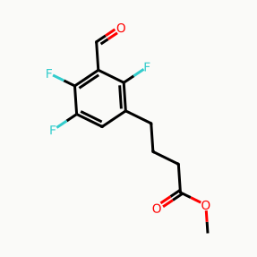 COC(=O)CCCc1cc(F)c(F)c(C=O)c1F